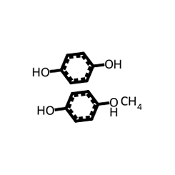 C.Oc1ccc(O)cc1.Oc1ccc(O)cc1